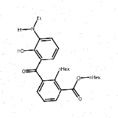 CCCCCCOC(=O)c1cccc(C(=O)c2cccc(N(CC)CC)c2O)c1CCCCCC